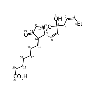 CC/C=C\CC(C)(O)/C=C\[C@H]1CCC(=O)[C@@H]1CCCCCCC(=O)O